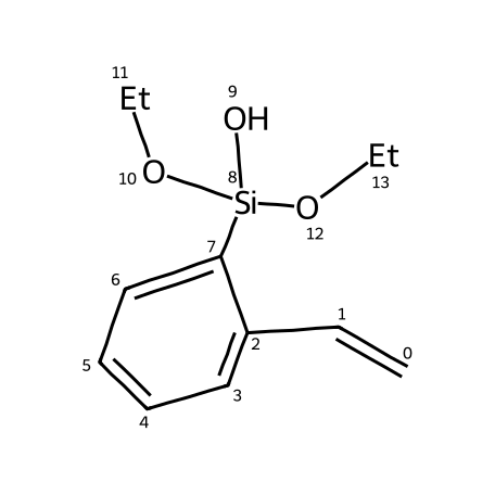 C=Cc1ccccc1[Si](O)(OCC)OCC